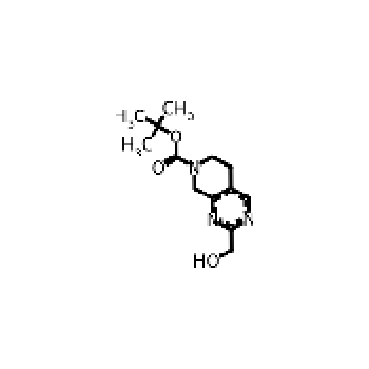 CC(C)(C)OC(=O)N1CCc2cnc(CO)nc2C1